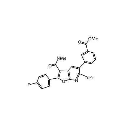 CCCc1nc2oc(-c3ccc(F)cc3)c(C(=O)NC)c2cc1-c1cccc(C(=O)OC)c1